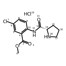 COC(=O)c1cc(Cl)ccc1NC(=O)[C@@H]1CCCN1.Cl